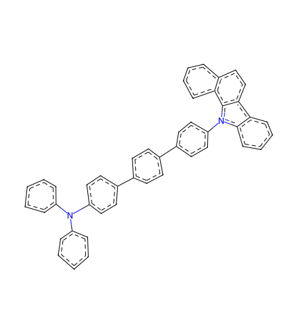 c1ccc(N(c2ccccc2)c2ccc(-c3ccc(-c4ccc(-n5c6ccccc6c6ccc7ccccc7c65)cc4)cc3)cc2)cc1